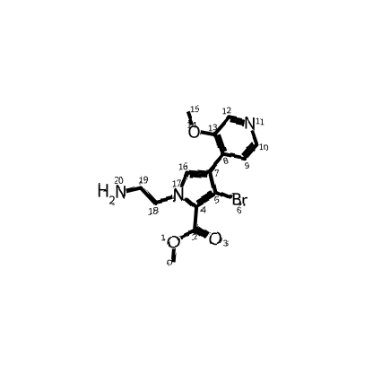 COC(=O)c1c(Br)c(-c2ccncc2OC)cn1CCN